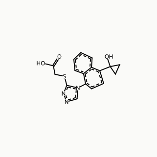 O=C(O)CSc1nncn1-c1ccc(C2(O)CC2)c2ccccc12